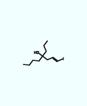 CCCCC(O)(C/C=C/I)CCC